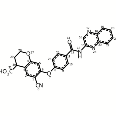 N#Cc1cc2c(cc1Oc1ccc(C(=O)Nc3cnc4ccccc4n3)cc1)OCCC2C(=O)O